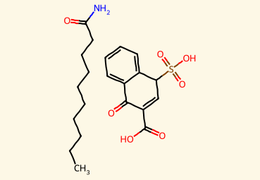 CCCCCCCCCC(N)=O.O=C(O)C1=CC(S(=O)(=O)O)c2ccccc2C1=O